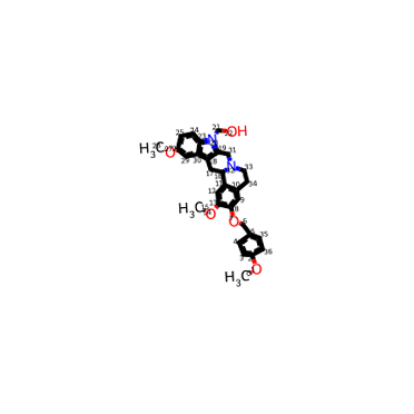 COc1ccc(COc2cc3c(cc2OC)C2Cc4c(n(CO)c5ccc(OC)cc45)CN2CC3)cc1